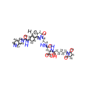 CC1CC(=O)N(CCCNC(=O)C[C@H](NC(=O)CCCCCN2C(=O)C=CC2=O)C(=O)O)N=C1c1ccc(NC(=O)N2Cc3ccncc3C2)cc1